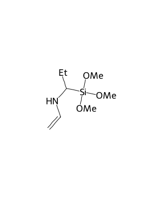 C=CNC(CC)[Si](OC)(OC)OC